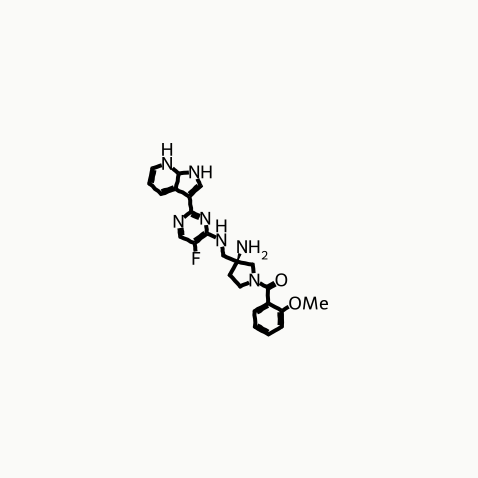 COc1ccccc1C(=O)N1CC[C@](N)(CNc2nc(C3=CNC4NC=CC=C34)ncc2F)C1